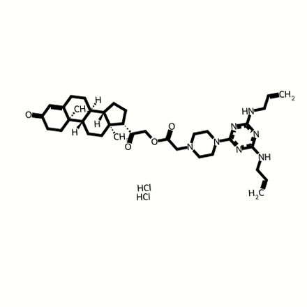 C=CCNc1nc(NCC=C)nc(N2CCN(CC(=O)OCC(=O)[C@H]3CC[C@H]4[C@@H]5CCC6=CC(=O)CC[C@]6(C)[C@H]5CC[C@]34C)CC2)n1.Cl.Cl